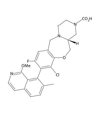 COc1nccc2ccc(C)c(-c3c(F)cc4c(c3Cl)OC[C@H]3CN(C(=O)O)CCN3C4)c12